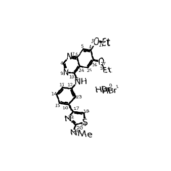 Br.Br.CCOc1cc2ncnc(Nc3cccc(-c4csc(NC)n4)c3)c2cc1OCC